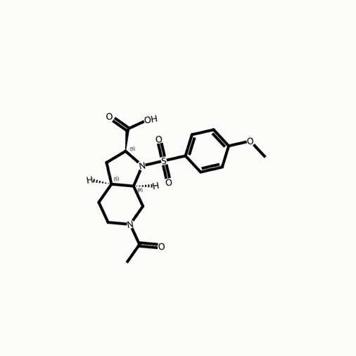 COc1ccc(S(=O)(=O)N2[C@H](C(=O)O)C[C@@H]3CCN(C(C)=O)C[C@@H]32)cc1